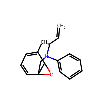 C=CCN(CC12C=CC=C(C)C1O2)c1ccccc1